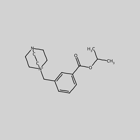 CC(C)OC(=O)c1cccc(C[N+]23CCN(CC2)CC3)c1